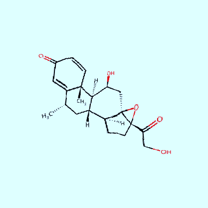 C[C@H]1C[C@@H]2[C@H]([C@@H](O)C[C@]34O[C@]3(C(=O)CO)CC[C@@H]24)[C@@]2(C)C=CC(=O)C=C12